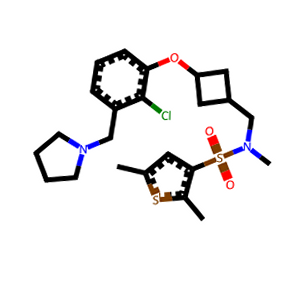 Cc1cc(S(=O)(=O)N(C)CC2CC(Oc3cccc(CN4CCCC4)c3Cl)C2)c(C)s1